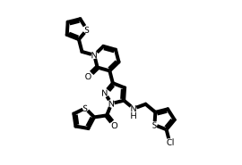 O=C(c1cccs1)n1nc(-c2cccn(Cc3cccs3)c2=O)cc1NCc1ccc(Cl)s1